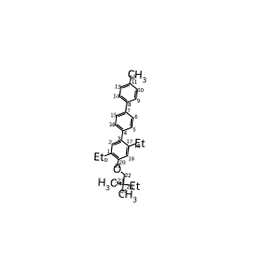 CCc1cc(-c2ccc(-c3ccc(C)cc3)cc2)c(CC)cc1OCC(C)(C)CC